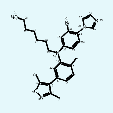 Cc1ccc(-c2c(C)noc2C)cc1N(CCCCCCO)c1ccc(-n2ccnc2)c(Br)c1